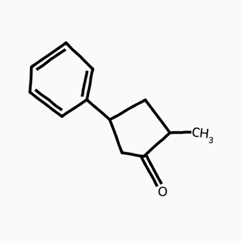 CC1CC(c2ccccc2)CC1=O